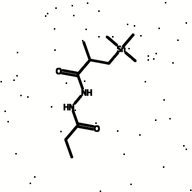 CCC(=O)NNC(=O)C(C)[CH2][Sn]([CH3])([CH3])[CH3]